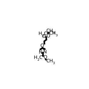 C=C(OCC)c1ncc(OCCCC(=O)OC(C)(C)C)cn1